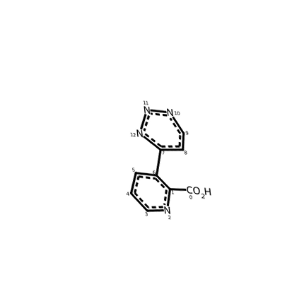 O=C(O)c1ncccc1-c1ccnnn1